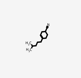 CC(C)CCCC1=CCC(C#N)CC1